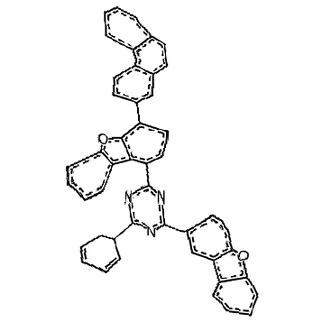 C1=CCC(c2nc(-c3ccc4oc5ccccc5c4c3)nc(-c3ccc(-c4ccc5c(ccc6ccccc65)c4)c4oc5ccccc5c34)n2)C=C1